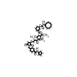 C=C(CC(CC)[C@H](C)OO[C@@H]1CCCC(OC(=O)NC2CCCCCCCC2)C1)N(C)C(=O)CCSC1CC(=O)N(CC2CCC(C(=O)NC3CCCC3)CC2)C1=O